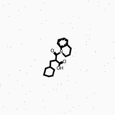 O=C(O)C(CC1CCCCC1)C(=O)N1CCCc2ccccc21